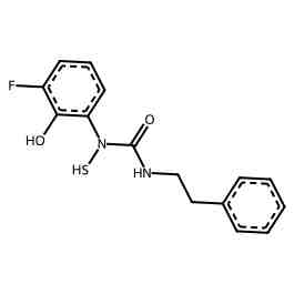 O=C(NCCc1ccccc1)N(S)c1cccc(F)c1O